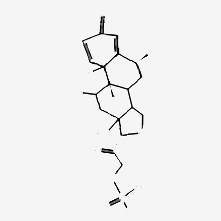 CC12CC(O)[C@@]3(F)C(C[C@H](F)C4=CC(=O)C=CC43C)C1CO[C@@H]2C(=O)COP(=O)(O)O